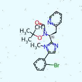 Cn1c(-c2ccccc2Br)cnc1[C@H](Cc1ccccn1)N(C=O)OC(C)(C)C